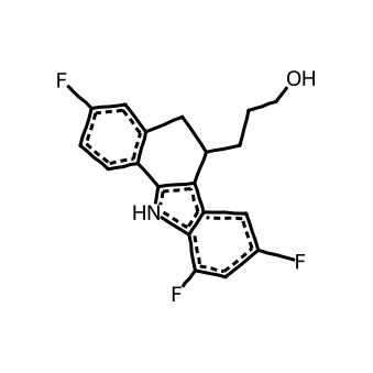 OCCCC1Cc2cc(F)ccc2-c2[nH]c3c(F)cc(F)cc3c21